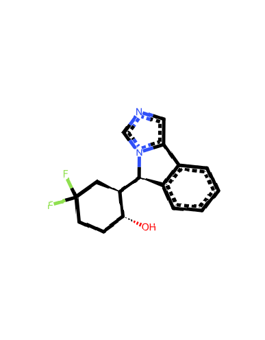 O[C@@H]1CCC(F)(F)C[C@H]1[C@@H]1c2ccccc2-c2cncn21